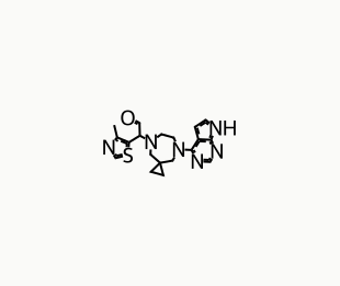 Cc1ncsc1C(C=O)N1CCN(c2ncnc3[nH]ccc23)CC2(CC2)C1